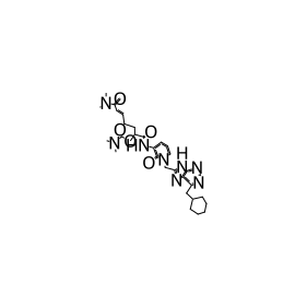 CN(C)C(=O)C=CCCC(OC(=O)N(C)C)C(=O)Nc1cccn(Cc2nc3c(CC4CCCCC4)ncnc3[nH]2)c1=O